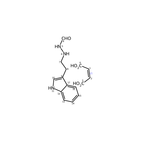 O=C(O)/C=C\C(=O)O.O=CNNCCc1c[nH]c2ccccc12